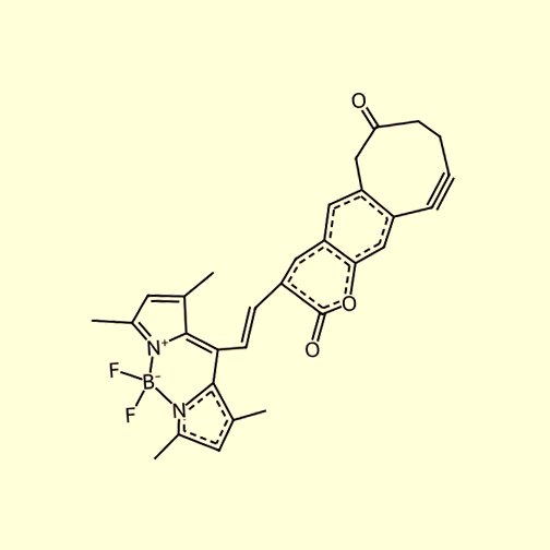 CC1=CC(C)=[N+]2C1=C(/C=C/c1cc3cc4c(cc3oc1=O)C#CCCC(=O)C4)c1c(C)cc(C)n1[B-]2(F)F